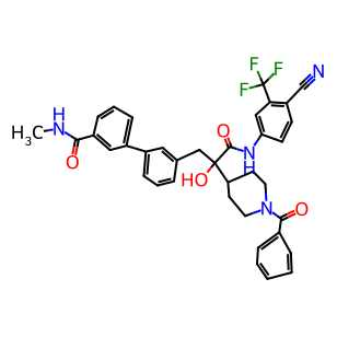 CNC(=O)c1cccc(-c2cccc(CC(O)(C(=O)Nc3ccc(C#N)c(C(F)(F)F)c3)C3CCN(C(=O)c4ccccc4)CC3)c2)c1